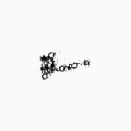 CC1(C)OC[C@H](COC2CCN(C(=O)Nc3ccc(CC(NC(=O)C(=O)Nc4cc(Cl)ccc4-n4cnnn4)C(=O)N[C@@]4(C(=O)O)Cc5ccccc5N4C(=O)O)cc3)CC2)O1